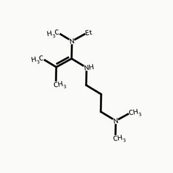 CCN(C)C(NCCCN(C)C)=C(C)C